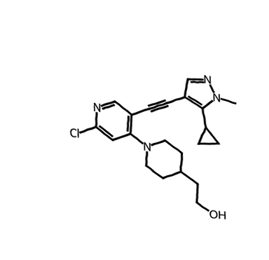 Cn1ncc(C#Cc2cnc(Cl)cc2N2CCC(CCO)CC2)c1C1CC1